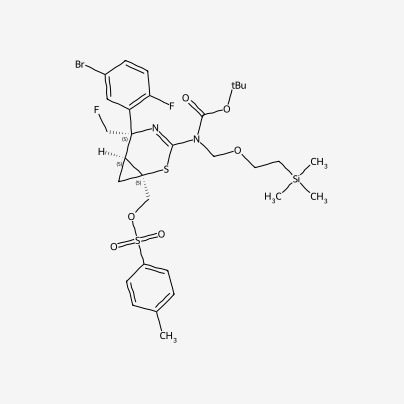 Cc1ccc(S(=O)(=O)OC[C@]23C[C@H]2[C@@](CF)(c2cc(Br)ccc2F)N=C(N(COCC[Si](C)(C)C)C(=O)OC(C)(C)C)S3)cc1